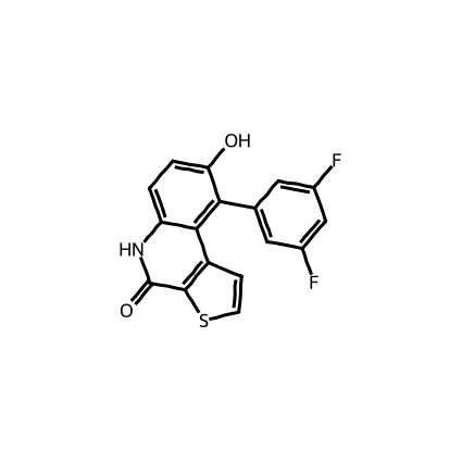 O=c1[nH]c2ccc(O)c(-c3cc(F)cc(F)c3)c2c2ccsc12